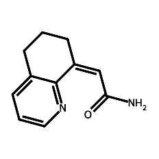 NC(=O)/C=C1/CCCc2cccnc21